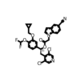 N#Cc1ccc2c(ccn2CC(=O)O[C@@H](Cc2c(Cl)cncc2Cl)c2ccc(OC(F)F)c(OCC3CC3)c2)c1